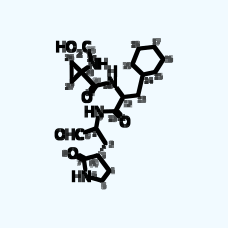 O=CC(C[C@@H]1CCNC1=O)NC(=O)C(CC1CCCCC1)NC(=O)C1(NC(=O)O)CC1